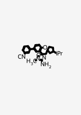 [C-]#[N+]c1cccc(-c2ccc3c(c2)C2(CC4(CCC(C(C)C)C4)O3)N=C(N)N(C)O2)c1